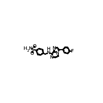 NS(=O)(=O)c1ccc(CNc2nccn3c(-c4ccc(F)cc4)cnc23)cc1